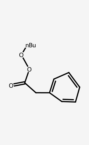 CCCCOOC(=O)Cc1ccccc1